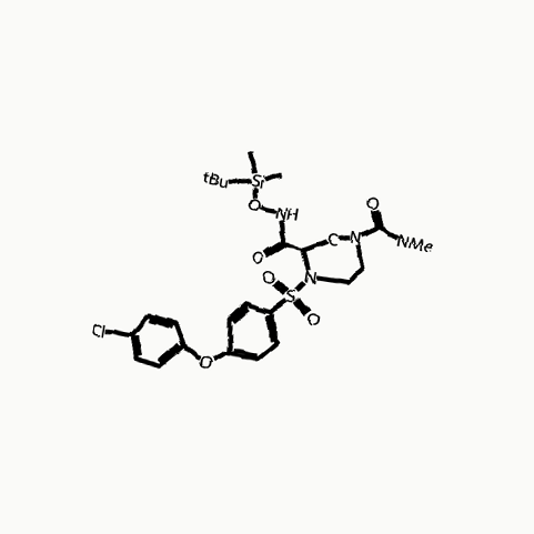 CNC(=O)N1CCN(S(=O)(=O)c2ccc(Oc3ccc(Cl)cc3)cc2)[C@@H](C(=O)NO[Si](C)(C)C(C)(C)C)C1